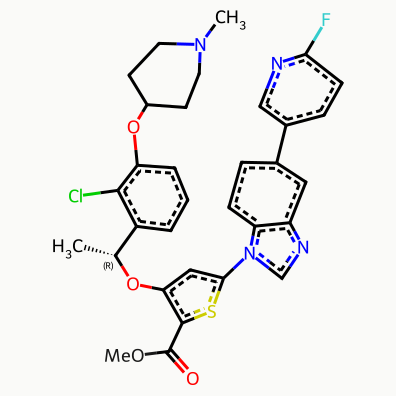 COC(=O)c1sc(-n2cnc3cc(-c4ccc(F)nc4)ccc32)cc1O[C@H](C)c1cccc(OC2CCN(C)CC2)c1Cl